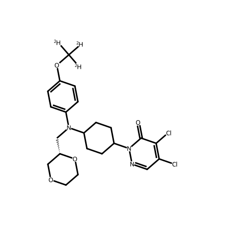 [2H]C([2H])([2H])Oc1ccc(N(C[C@H]2COCCO2)C2CCC(n3ncc(Cl)c(Cl)c3=O)CC2)cc1